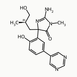 C[C@@H](CO)CC1(c2cc(-c3cncnc3)ccc2O)N=C(N)N(C)C1=O